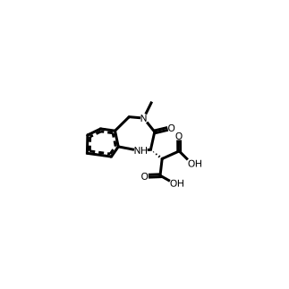 CN1Cc2ccccc2N[C@@H](C(C(=O)O)C(=O)O)C1=O